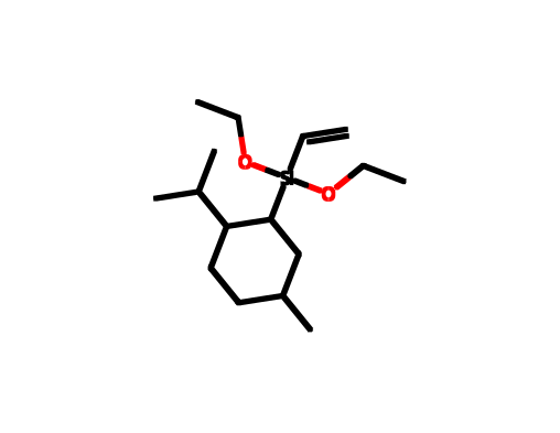 C=C[Si](OCC)(OCC)C1CC(C)CCC1C(C)C